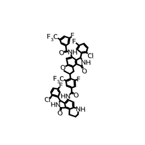 O=C(Nc1cc2c(c3c1C(c1cc(F)ccc1Cl)NC3=O)CCCN2)c1cc(F)c(C2COc3cc(NC(=O)c4cc(F)cc(C(F)(F)F)c4)c4c(c3C2)C(=O)NC4c2cc(F)ccc2Cl)c(C(F)(F)F)c1